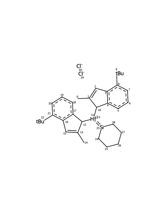 CC1=Cc2c(cccc2C(C)(C)C)[CH]1[Hf+2]([CH]1C(C)=Cc2c1cccc2C(C)(C)C)=[Si]1CCCCC1.[Cl-].[Cl-]